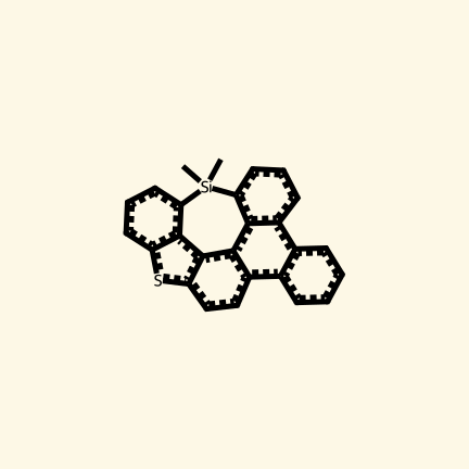 C[Si]1(C)c2cccc3sc4ccc5c6ccccc6c6cccc1c6c5c4c23